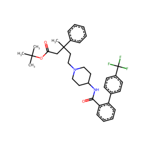 CC(C)(C)OC(=O)CC(C)(CCN1CCC(NC(=O)c2ccccc2-c2ccc(C(F)(F)F)cc2)CC1)c1ccccc1